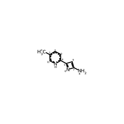 Cc1ccc(C2=NC(N)=C2)nc1